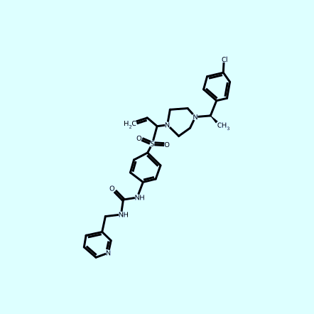 C=CC(N1CCN([C@H](C)c2ccc(Cl)cc2)CC1)S(=O)(=O)c1ccc(NC(=O)NCc2cccnc2)cc1